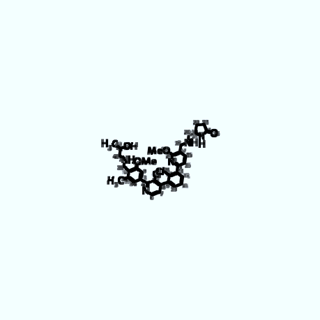 COc1cc(-c2nccc(-c3cccc(-c4ccc(CNC[C@@H]5CCC(=O)N5)c(OC)n4)c3Cl)c2Cl)cc(C)c1CNCC(C)O